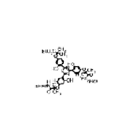 CCCCCCNC(=O)C(C)(C)Oc1ccc(-c2nc(-c3ccc(OC(C)(C)C(=O)NCCCCCC)cc3O)nc(-c3ccc(OC(C)(C)C(=O)OCC)cc3O)n2)c(O)c1